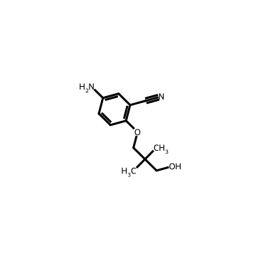 CC(C)(CO)COc1ccc(N)cc1C#N